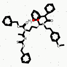 COc1ccc(CCN(C(=O)C(c2ccccc2)c2ccccc2)[C@H](CCCN(C(=O)OCc2ccccc2)C(C)=NC(=S)OCc2ccccc2)C(N)=O)cc1